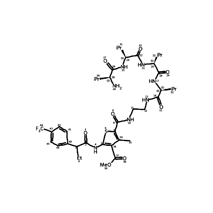 CCC(C(=O)Nc1sc(C(=O)NCCNC(=O)[C@@H](NC(=O)[C@@H](NC(=O)[C@@H](NC(=O)[C@@H](N)C(C)C)C(C)C)C(C)C)C(C)C)c(C)c1C(=O)OC)c1ccc(C(F)(F)F)cc1